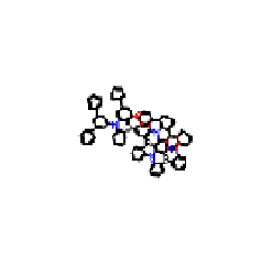 c1ccc(-c2cc(-c3ccccc3)cc(N3c4ccccc4B4c5cc6c(cc5Oc5cc(-c7ccccc7)cc3c54)N(c3c(-c4ccccc4)cccc3-c3ccccc3)c3cc4c5c7c3B6c3ccccc3N7c3ccccc3B5c3ccccc3N4c3ccccc3)c2)cc1